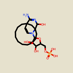 NC1=NC(O)C23CCCCCCCCCCC1(C=CN2C1OC(COP(=O)(O)O)C(O)C1O)C3